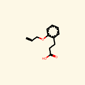 C=CCOc1ccccc1CCC(=O)O